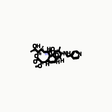 CO[C@H]1C[C@H]2C=C[C@H]3[C@H]4O[C@]2(/C(C)=C/[C@@H](C)[C@@H]([C@@H](C)O)OC1=O)[C@@H]3[C@H](O)[C@@H](C)[C@@H]4NCc1ccncc1